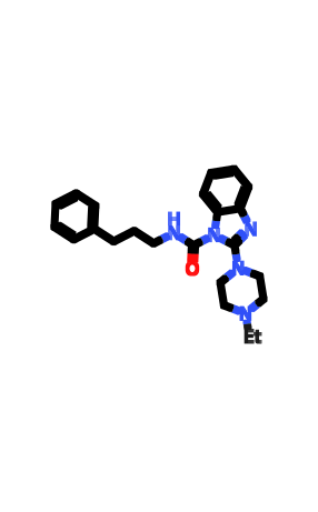 CCN1CCN(c2nc3ccccc3n2C(=O)NCCCc2ccccc2)CC1